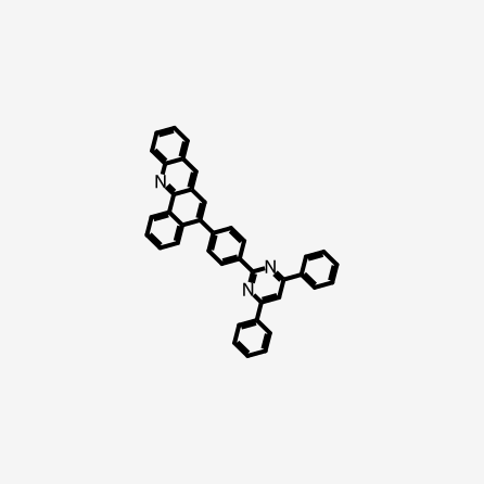 c1ccc(-c2cc(-c3ccccc3)nc(-c3ccc(-c4cc5cc6ccccc6nc5c5ccccc45)cc3)n2)cc1